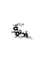 CCN(c1cc(Cl)cc(C(=O)NCc2c(C)oc(C)cc2=O)c1C)[C@H]1CC[C@H](NC(=O)O)CC1